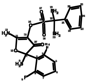 BC1(c2c(F)cccc2F)OC(N)=C(OS(=O)(=O)C(B)(B)c2ccccc2)C1=O